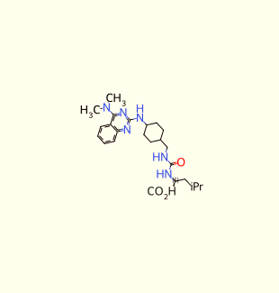 CC(C)C[C@H](NC(=O)NCC1CCC(Nc2nc(N(C)C)c3ccccc3n2)CC1)C(=O)O